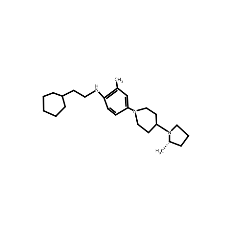 Cc1cc(N2CCC(N3CCC[C@@H]3C)CC2)ccc1NCCC1CCCCC1